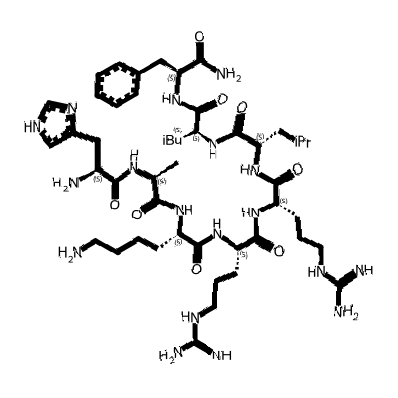 CC[C@H](C)[C@H](NC(=O)[C@H](CC(C)C)NC(=O)[C@H](CCCNC(=N)N)NC(=O)[C@H](CCCNC(=N)N)NC(=O)[C@H](CCCCN)NC(=O)[C@H](C)NC(=O)[C@@H](N)Cc1c[nH]cn1)C(=O)N[C@@H](Cc1ccccc1)C(N)=O